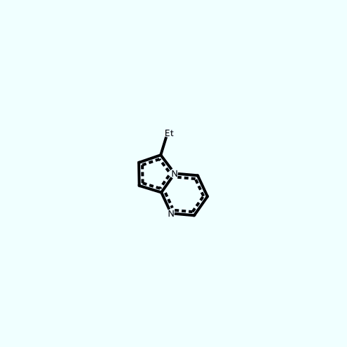 CCc1ccc2ncccn12